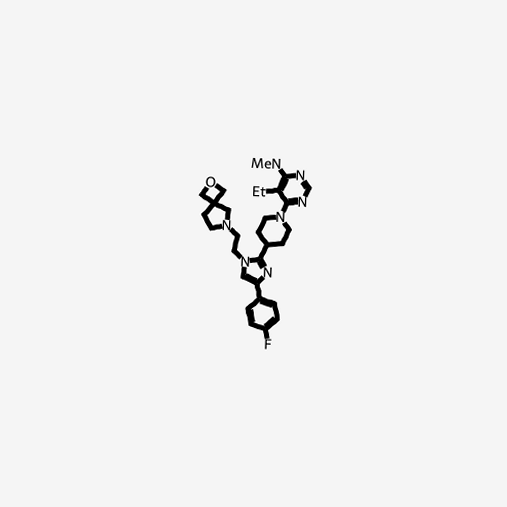 CCc1c(NC)ncnc1N1CCC(c2nc(-c3ccc(F)cc3)cn2CCN2CCC3(COC3)C2)CC1